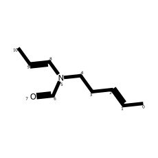 C/C=C/CCN(C=O)/C=C/C